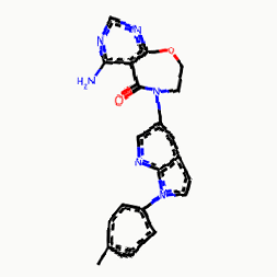 Cc1ccc(-n2ccc3cc(N4CCOc5ncnc(N)c5C4=O)cnc32)cc1